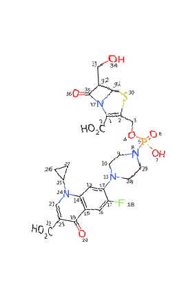 O=C(O)C1=C(COP(=O)(O)N2CCN(c3cc4c(cc3F)c(=O)c(C(=O)O)cn4C3CC3)CC2)SC2C(CO)C(=O)N12